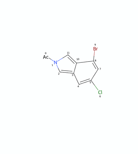 CC(=O)n1cc2cc(Cl)cc(Br)c2c1